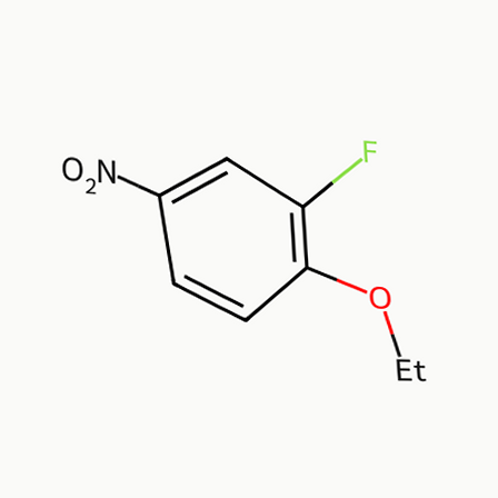 [CH2]COc1ccc([N+](=O)[O-])cc1F